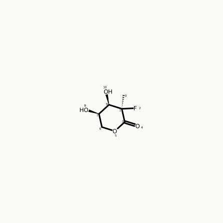 C[C@]1(F)C(=O)OC[C@@H](O)[C@H]1O